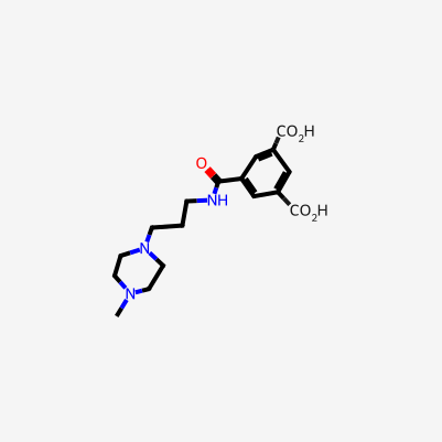 CN1CCN(CCCNC(=O)c2cc(C(=O)O)cc(C(=O)O)c2)CC1